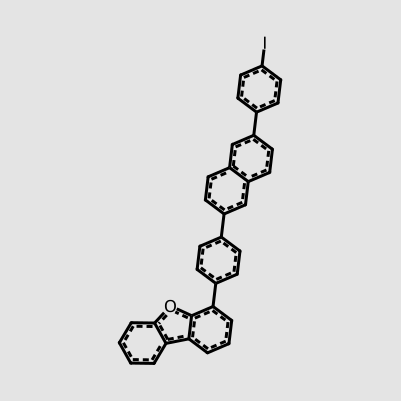 Ic1ccc(-c2ccc3cc(-c4ccc(-c5cccc6c5oc5ccccc56)cc4)ccc3c2)cc1